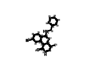 O=c1[nH]cc(I)c2nc(NCc3cccnn3)c3ccc(Br)cc3c12